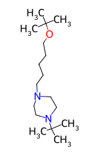 CC(C)(C)OCCCCCN1CCN(C(C)(C)C)CC1